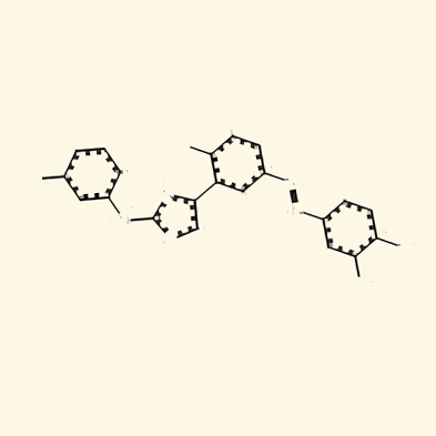 CC(C)c1cc(/N=N/c2ccc(F)c(-c3csc(Nc4cccc(C(F)(F)F)c4)n3)c2)ccc1F